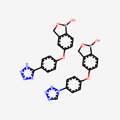 OB1OCc2cc(Oc3ccc(-c4nnn[nH]4)cc3)ccc21.OB1OCc2cc(Oc3ccc(-n4cnnn4)cc3)ccc21